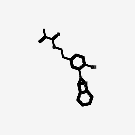 C=C(C)C(=O)OCCc1ccc(O)c(-n2n3c4ccccc4n23)c1